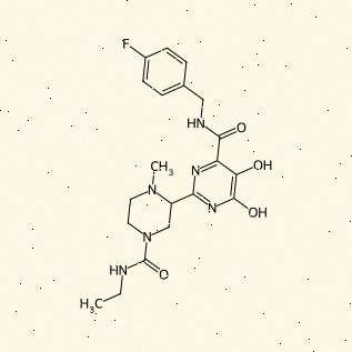 CCNC(=O)N1CCN(C)C(c2nc(O)c(O)c(C(=O)NCc3ccc(F)cc3)n2)C1